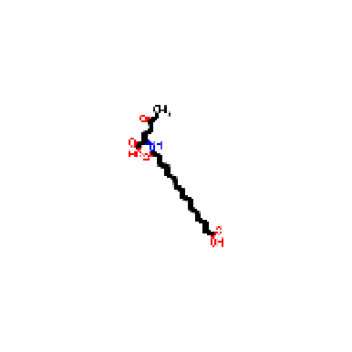 CCC(=O)CCC(NC(=O)CCCCCCCCCCCCCCC(=O)O)C(=O)O